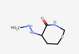 O=C(O)NNC1CCCCNC1=O